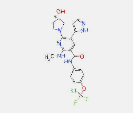 CNc1nc(N2CC[C@H](O)C2)c(-c2ccn[nH]2)cc1C(=O)Nc1ccc(OC(F)(F)Cl)cc1